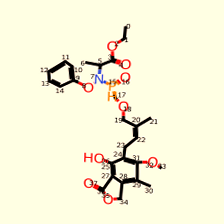 CCOC(=O)C(C)N(Oc1ccccc1)[PH](=O)COCC(C)=CCc1c(O)c2c(c(C)c1OC)COC2=O